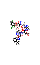 COC(=O)CC(NC(=O)[C@H](C)NC(=O)[C@@H](NC(=O)[C@H](CC(=O)OC)NC(=O)[C@@H](NC(=O)CC(=O)Nc1ccccc1C(C)(C)C)C(C)C)C(C)C)C(=O)COc1c(F)c(F)cc(F)c1F